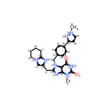 CCn1c(=O)[nH]c(=O)c2c1nc(Cc1cn3c(n1)CCCC3)n2Cc1ccc(-c2ccn(C)n2)cc1